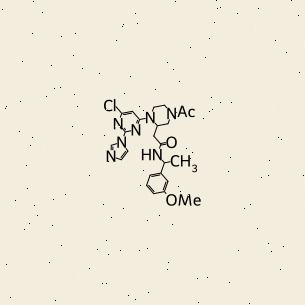 COc1cccc(C(C)NC(=O)CC2CN(C(C)=O)CCN2c2cc(Cl)nc(-n3ccnc3)n2)c1